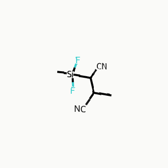 CC(C#N)C(C#N)[Si](C)(F)F